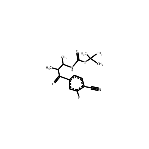 CC(NC(=O)OC(C)(C)C)C(C)C(=O)c1ccc(C#N)c(F)c1